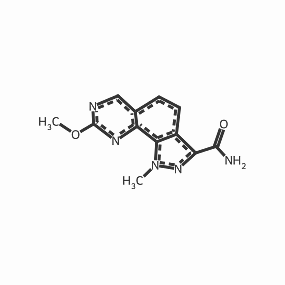 COc1ncc2ccc3c(C(N)=O)nn(C)c3c2n1